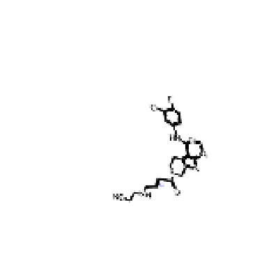 N#CCCNC/C=C/C(=O)N1CCc2c(sc3ncnc(Nc4ccc(F)c(Cl)c4)c23)C1